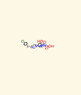 O=C(O)CNC(=O)c1ncc(N2CCN(CCSc3ccc(Cl)cc3)CC2)cc1O